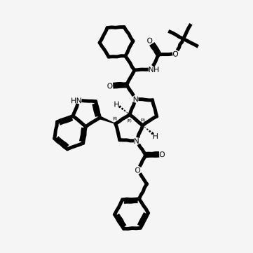 CC(C)(C)OC(=O)NC(C(=O)N1CC[C@@H]2[C@H]1[C@H](c1c[nH]c3ccccc13)CN2C(=O)OCc1ccccc1)C1CCCCC1